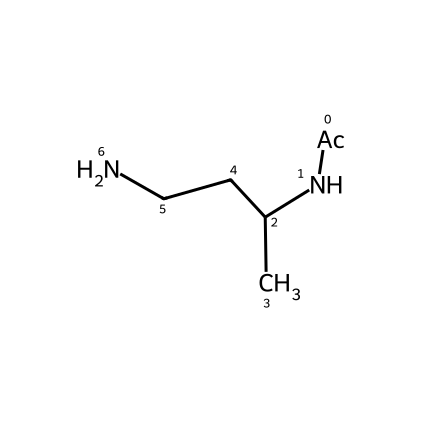 CC(=O)NC(C)CCN